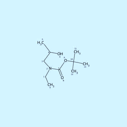 CCN(CC(C)O)C(=O)OC(C)(C)C